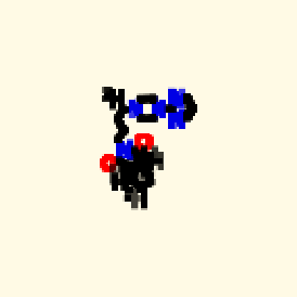 [2H]C1C[C@@H]2C[C@H]1[C@@H]1C(=O)N(CCCC([2H])N3CCN(c4ncccn4)CC3)C(=O)[C@H]21